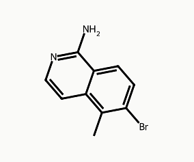 Cc1c(Br)ccc2c(N)nccc12